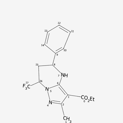 CCOC(=O)c1c(C)nn2c1NC(c1ccccc1)CC2C(F)(F)F